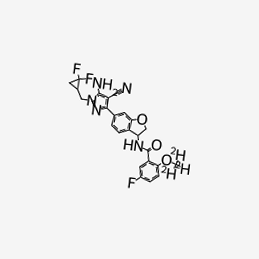 [2H]C([2H])([2H])Oc1ccc(F)cc1C(=O)NC1COc2cc(-c3nn(CC4CC4(F)F)c(N)c3C#N)ccc21